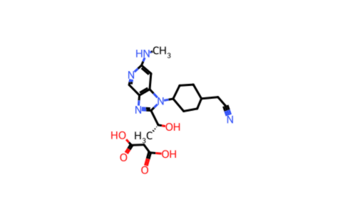 CNc1cc2c(cn1)nc([C@@H](C)O)n2C1CCC(CC#N)CC1.O=C(O)CC(=O)O